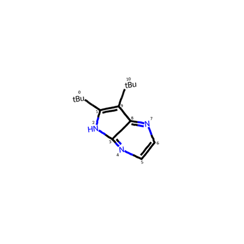 CC(C)(C)c1[nH]c2nccnc2c1C(C)(C)C